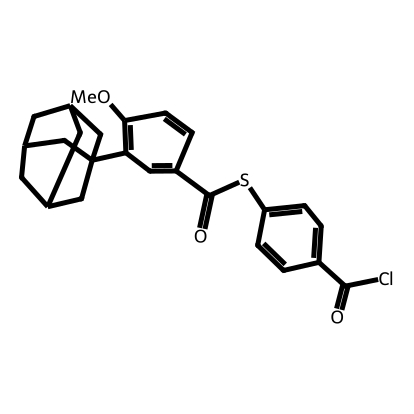 COc1ccc(C(=O)Sc2ccc(C(=O)Cl)cc2)cc1C12CC3CC(CC(C3)C1)C2